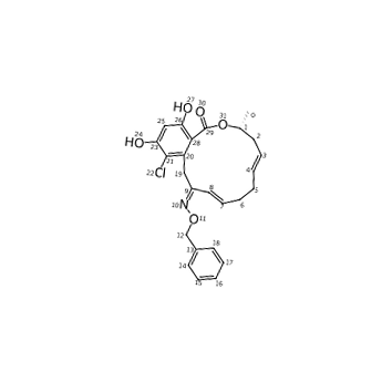 C[C@@H]1C/C=C/CC/C=C/C(=N\OCc2ccccc2)Cc2c(Cl)c(O)cc(O)c2C(=O)O1